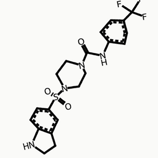 O=C(Nc1ccc(C(F)(F)F)cc1)N1CCN(S(=O)(=O)c2ccc3c(c2)CCN3)CC1